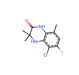 Cc1cc(F)c(Cl)c2c1NC(=O)C(C)(C)N2